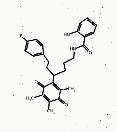 CC1=C(C)C(=O)C(C(CCCNC(=O)c2ccccc2O)CCc2ccc(F)cc2)=C(C)C1=O